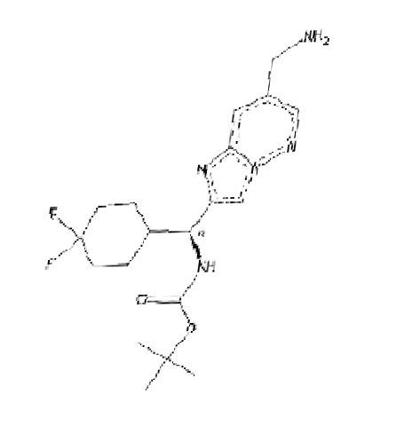 CC(C)(C)OC(=O)N[C@H](c1cn2ncc(CN)cc2n1)C1CCC(F)(F)CC1